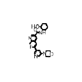 Cc1ncc(C(=O)N[C@H]2CCCC[C@@H]2O)cc1/C=C(\F)c1cncc(N2CCOCC2)c1